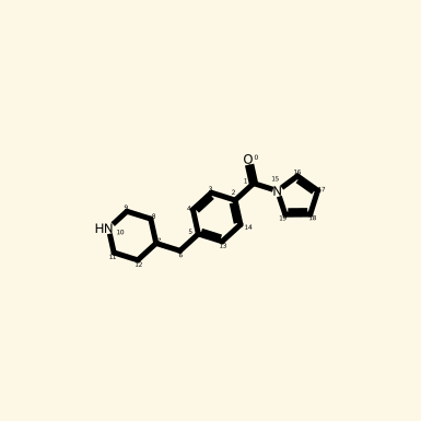 O=C(c1ccc(CC2CCNCC2)cc1)n1cccc1